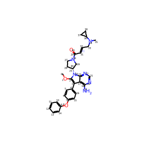 COc1c(-c2ccc(Oc3ccccc3)cc2)c2c(N)ncnc2n1[C@@H]1CCN(C(=O)/C=C/CN(C)C2CC2)C1